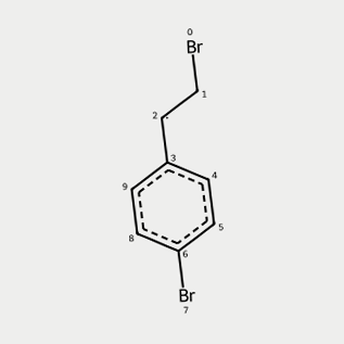 BrC[CH]c1ccc(Br)cc1